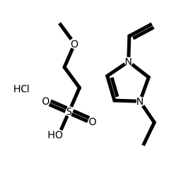 C=CN1C=CN(CC)C1.COCCS(=O)(=O)O.Cl